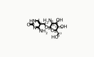 Nc1nc(=O)[nH]cc1CO[C@@H]1O[C@H](CO)[C@@H](O)[C@H](O)[C@H]1N